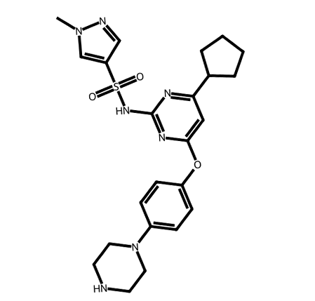 Cn1cc(S(=O)(=O)Nc2nc(Oc3ccc(N4CCNCC4)cc3)cc(C3CCCC3)n2)cn1